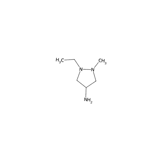 CCN1CC(N)CN1C